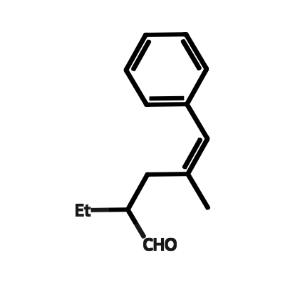 CCC(C=O)CC(C)=Cc1ccccc1